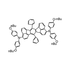 CCCCOc1ccc(N(c2ccc(OCCCC)cc2)c2ccc3c4c(-c5ccccc5)c5c6ccc(N(c7ccc(OCCCC)cc7)c7ccc(OCCCC)cc7)c7cccc(c5c(-c5ccccc5)c4c4cccc2c43)c76)cc1